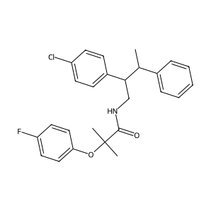 CC(c1ccccc1)C(CNC(=O)C(C)(C)Oc1ccc(F)cc1)c1ccc(Cl)cc1